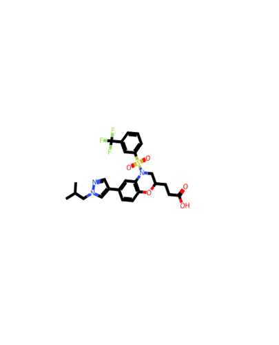 CC(C)Cn1cc(-c2ccc3c(c2)N(S(=O)(=O)c2cccc(C(F)(F)F)c2)CC(CCC(=O)O)O3)cn1